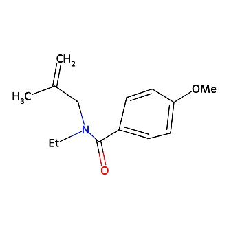 C=C(C)CN(CC)C(=O)c1ccc(OC)cc1